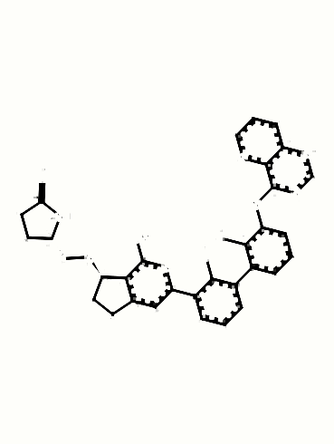 COc1nc(-c2cccc(-c3cccc(Nc4ncnc5cccnc45)c3Cl)c2Cl)cc2c1[C@H](NC[C@@H]1CCC(=O)N1)CC2